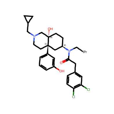 CC(C)CN(C(=O)Cc1ccc(Cl)c(Cl)c1)[C@@H]1CC[C@]2(O)CN(CC3CC3)CC[C@@]2(c2cccc(O)c2)C1